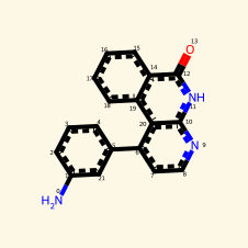 Nc1cccc(-c2ccnc3[nH]c(=O)c4ccccc4c23)c1